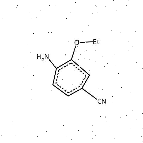 CCOc1cc(C#N)ccc1N